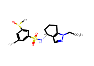 CCOC(=O)Cn1ncc2c1CCC[C@H]2NS(=O)(=O)c1cc([S+]([O-])CC)cc(C(F)(F)F)c1